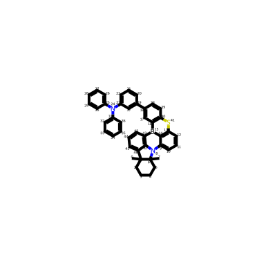 CC12CCCCC1(C)N1c3cccc4c3B(c3cc(-c5cccc(N(c6ccccc6)c6ccccc6)c5)ccc3S4)c3cccc2c31